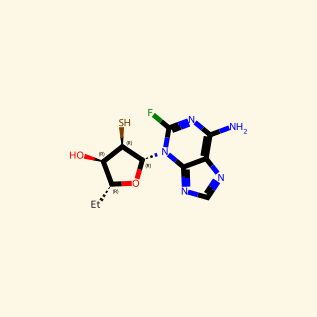 CC[C@H]1O[C@@H](n2c(F)nc(N)c3ncnc2-3)[C@H](S)[C@@H]1O